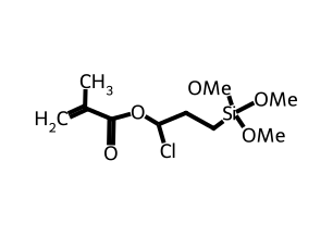 C=C(C)C(=O)OC(Cl)CC[Si](OC)(OC)OC